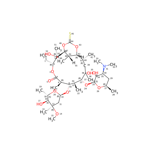 CC[C@H]1OC(=O)[C@H](C)[C@@H](O[C@H]2C[C@@](C)(OC)[C@@H](O)[C@H](C)O2)[C@H](C)[C@@H](O[C@@H]2O[C@H](C)C[C@H](N(C)C)[C@H]2O)C(C)(O)C[C@@H](C)[C@H]2OC(=S)O[C@H]([C@H]2C)[C@]1(C)O